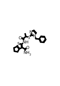 CC(Sc1nccn1Cc1ccccc1)C(=O)Nc1sc2c(c1C(N)=O)CCC2